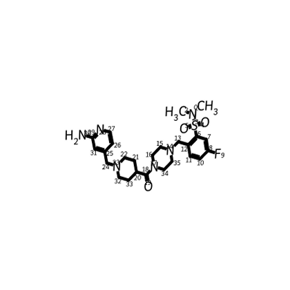 CN(C)S(=O)(=O)c1cc(F)ccc1CN1CCN(C(=O)C2CCN(Cc3ccnc(N)c3)CC2)CC1